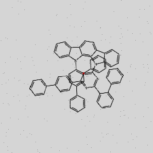 c1ccc(-c2ccc(-c3nc(-c4ccccc4-c4ccccc4)nc(-n4c5ccccc5c5ccc6c7ccccc7n(-c7ccc(-c8ccccc8)cc7-c7ccccc7)c6c54)n3)cc2)cc1